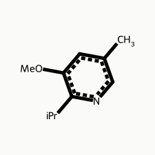 COc1cc(C)cnc1C(C)C